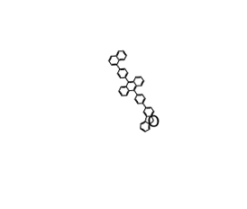 c1ccc2c(-c3ccc(-c4c5ccccc5c(-c5ccc(-c6ccc7oc8ccccc8c7c6)cc5)c5ccccc45)cc3)cccc2c1